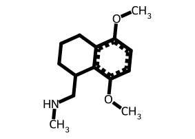 CNCC1CCCc2c(OC)ccc(OC)c21